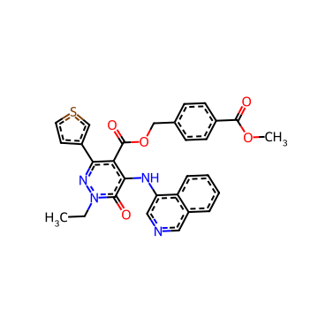 CCn1nc(-c2ccsc2)c(C(=O)OCc2ccc(C(=O)OC)cc2)c(Nc2cncc3ccccc23)c1=O